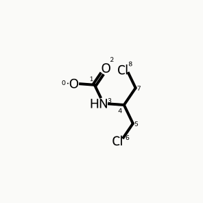 [O]C(=O)NC(CCl)CCl